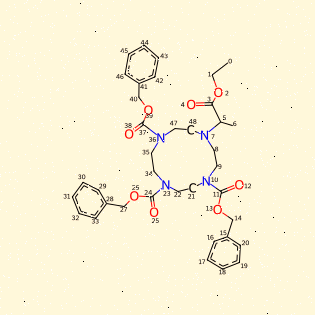 CCOC(=O)C(C)N1CCN(C(=O)OCc2ccccc2)CCN(C(=O)OCc2ccccc2)CCN(C(=O)OCc2ccccc2)CC1